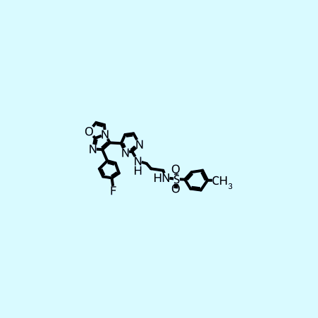 Cc1ccc(S(=O)(=O)NCCCNc2nccc(-c3c(-c4ccc(F)cc4)nc4occn34)n2)cc1